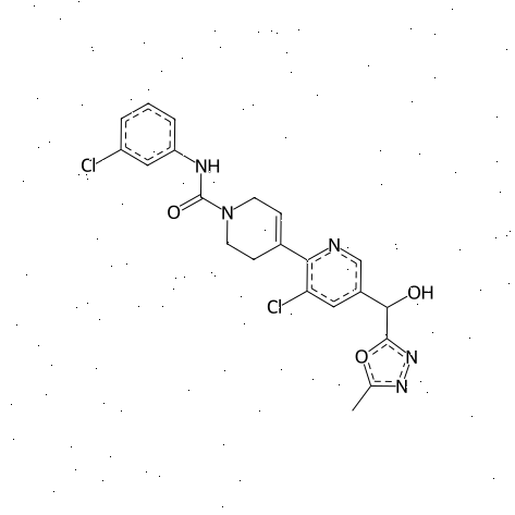 Cc1nnc(C(O)c2cnc(C3=CCN(C(=O)Nc4cccc(Cl)c4)CC3)c(Cl)c2)o1